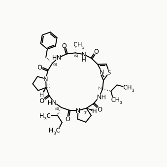 CCC(C)[C@@H]1NC(=O)[C@@H]2CCCN2C(=O)[C@H](Cc2ccccc2)NC(=O)[C@H](C)NC(=O)c2csc(n2)[C@H](C(C)CC)NC(=O)[C@@H]2CCCN2C1=O